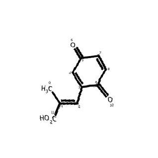 CC(=CC1=CC(=O)C=CC1=O)C(=O)O